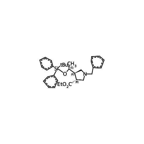 CCOC(=O)[C@H]1CN(Cc2ccccc2)C[C@@H]1[C@H](C)O[Si](c1ccccc1)(c1ccccc1)C(C)(C)C